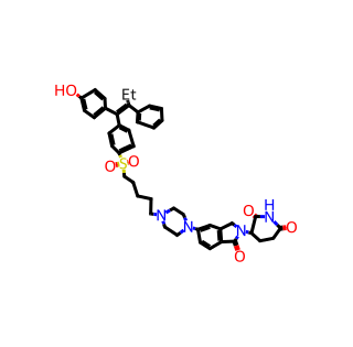 CCC(=C(c1ccc(O)cc1)c1ccc(S(=O)(=O)CCCCCN2CCN(c3ccc4c(c3)CN(C3CCC(=O)NC3=O)C4=O)CC2)cc1)c1ccccc1